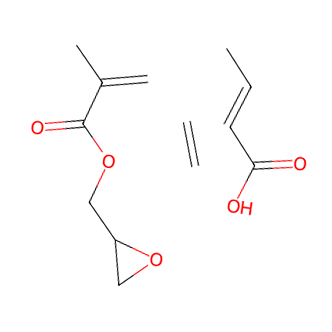 C=C.C=C(C)C(=O)OCC1CO1.CC=CC(=O)O